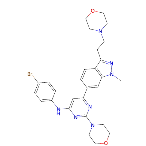 Cn1nc(CCN2CCOCC2)c2ccc(-c3cc(Nc4ccc(Br)cc4)nc(N4CCOCC4)n3)cc21